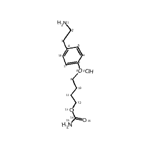 Cl.NCCc1ccc(OCCCCOC(N)=O)cc1